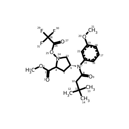 COC(=O)C1C[C@@H](N(C(=O)CC(C)(C)C)c2cccc(OC)c2)CN1OC(=O)C(F)(F)F